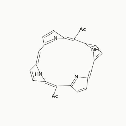 CC(=O)c1c2nc(cc3ccc([nH]3)c(C(C)=O)c3nc(cc4ccc1[nH]4)C=C3)C=C2